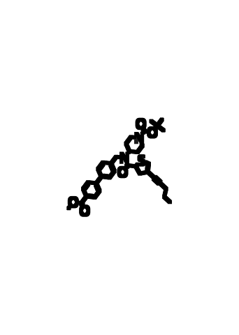 CCCC#CC1=CSC(C(=O)N(Cc2ccc(-c3ccc(C(=O)OC)cc3)cc2)C2CCN(C(=O)OC(C)(C)C)CC2)C1